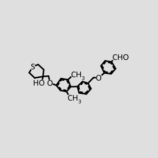 Cc1cc(OCC2(O)CCSCC2)cc(C)c1-c1cccc(COc2ccc(C=O)cc2)c1